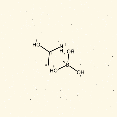 CC(N)O.OB(O)O